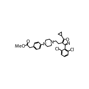 COC(=O)Cc1ccc(N2CCN(CCc3c(-c4c(Cl)cccc4Cl)noc3C3CC3)CC2)cc1